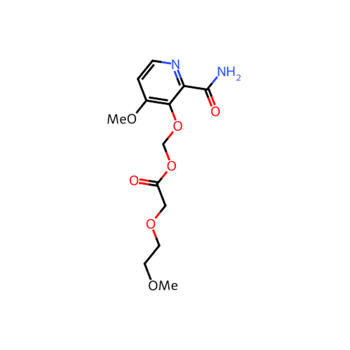 COCCOCC(=O)OCOc1c(OC)ccnc1C(N)=O